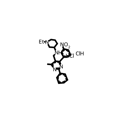 CCN1CCCC(NCc2c(C)nc(-c3ccccc3)nc2-c2cccc([N+](=O)[O-])c2)C1.Cl.Cl